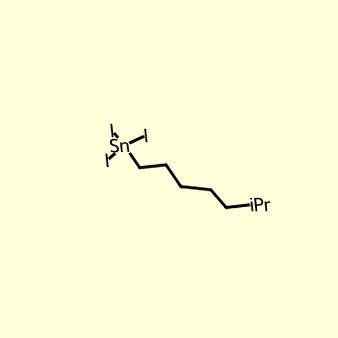 CC(C)CCCC[CH2][Sn]([I])([I])[I]